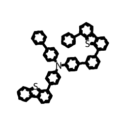 c1ccc(-c2ccc(N(c3ccc(-c4cccc(-c5cccc6c5sc5c(-c7ccccc7)cccc56)c4)cc3)c3ccc(-c4cccc5c4sc4ccccc45)cc3)cc2)cc1